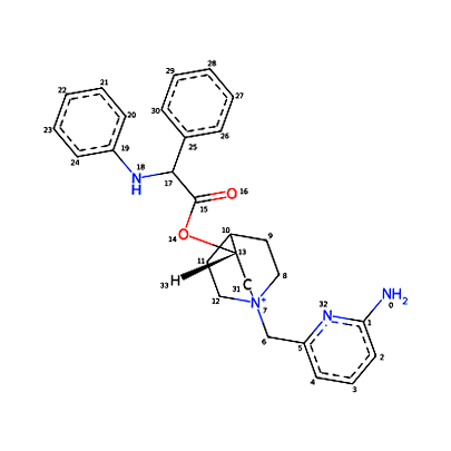 Nc1cccc(C[N+]23CCC(CC2)[C@@H](OC(=O)C(Nc2ccccc2)c2ccccc2)C3)n1